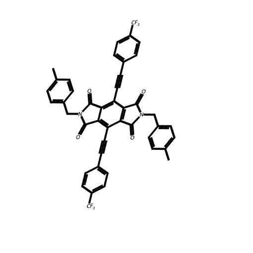 Cc1ccc(Cn2c(=O)c3c(C#Cc4ccc(C(F)(F)F)cc4)c4c(=O)n(Cc5ccc(C)cc5)c(=O)c4c(C#Cc4ccc(C(F)(F)F)cc4)c3c2=O)cc1